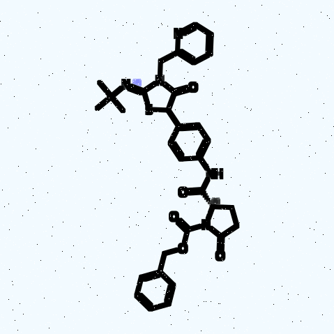 CC(C)(C)/N=C1\SC(c2ccc(NC(=O)[C@@H]3CCC(=O)N3C(=O)OCc3ccccc3)cc2)C(=O)N1Cc1ccccn1